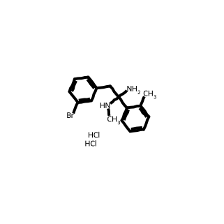 CNC(N)(Cc1cccc(Br)c1)c1ccccc1C.Cl.Cl